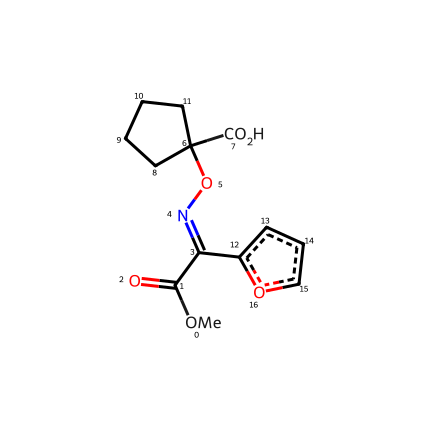 COC(=O)C(=NOC1(C(=O)O)CCCC1)c1ccco1